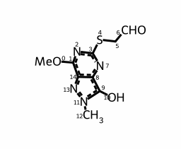 COc1nc(SCC=O)nc2c(O)n(C)nc12